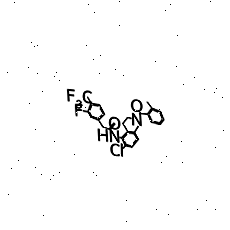 Cc1ccccc1C(=O)N1CCc2c(ccc(Cl)c2NC(=O)Cc2ccc(C(F)(F)F)c(F)c2)C1